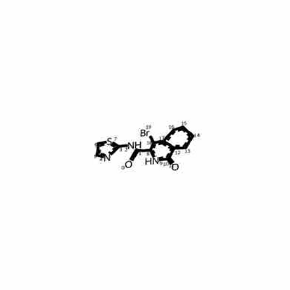 O=C(Nc1nccs1)c1[nH]c(=O)c2ccccc2c1Br